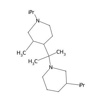 CC(C)C1CCCN(C(C)(C)C2CCN(C(C)C)CC2C)C1